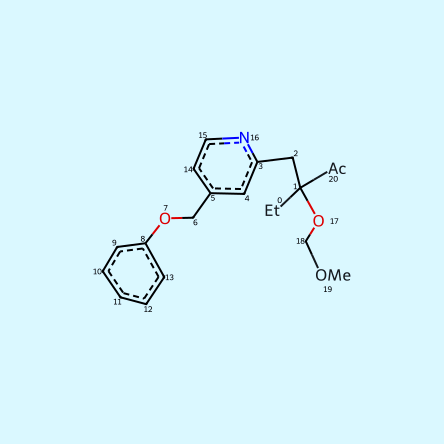 CCC(Cc1cc(COc2ccccc2)ccn1)(OCOC)C(C)=O